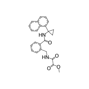 COC(=O)C(=O)NCc1ccccc1C(=O)NC1(c2cccc3ccccc23)CC1